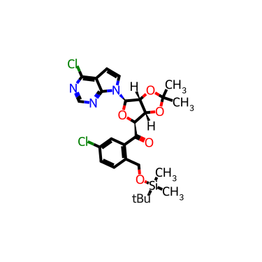 CC1(C)O[C@@H]2[C@H](O1)[C@@H](C(=O)c1cc(Cl)ccc1CO[Si](C)(C)C(C)(C)C)O[C@H]2n1ccc2c(Cl)ncnc21